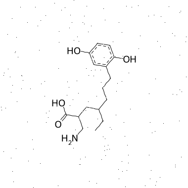 CCC(CCCc1cc(O)ccc1O)CC(CN)C(=O)O